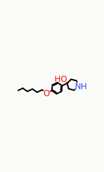 CCCCCCOc1ccc(C2(O)CCNCC2)cc1